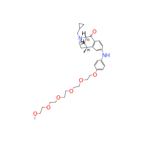 COCCOCCOCCOCCOCCOc1ccc(Nc2ccc3c(c2)[C@]2(C)CCN(CC4CC4)[C@H](C3=O)[C@@H]2C)cc1